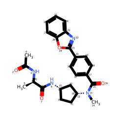 CC(=O)N[C@H](C)C(=O)N[C@H]1CC[C@@H](N(C)C(=O)c2ccc(-c3nc4ccccc4o3)cc2)C1